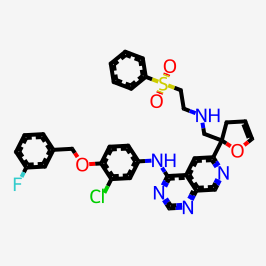 O=S(=O)(CCNCC1(c2cc3c(Nc4ccc(OCc5cccc(F)c5)c(Cl)c4)ncnc3cn2)CC=CO1)c1ccccc1